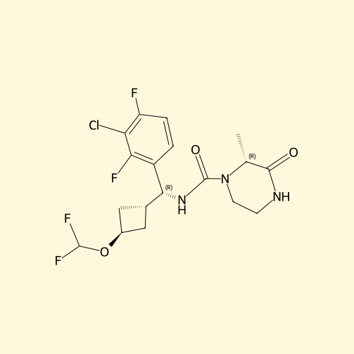 C[C@@H]1C(=O)NCCN1C(=O)N[C@@H](c1ccc(F)c(Cl)c1F)[C@H]1C[C@H](OC(F)F)C1